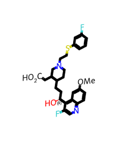 COc1ccc2ncc(F)c([C@H](O)CCC3CCN(CCSc4cccc(F)c4)CC3CC(=O)O)c2c1